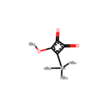 CCC[CH2][Sn]([CH2]CCC)([CH2]CCC)[c]1c(OC(C)(C)C)c(=O)c1=O